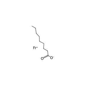 CCCCCCCCC(=O)[O-].[Fr+]